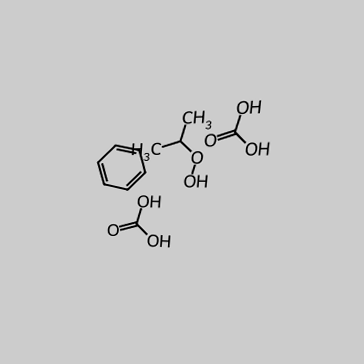 CC(C)OO.O=C(O)O.O=C(O)O.c1ccccc1